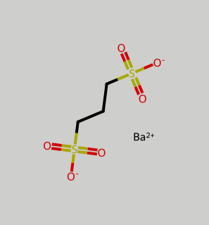 O=S(=O)([O-])CCCS(=O)(=O)[O-].[Ba+2]